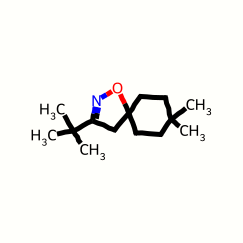 CC1(C)CCC2(CC1)CC(C(C)(C)C)=NO2